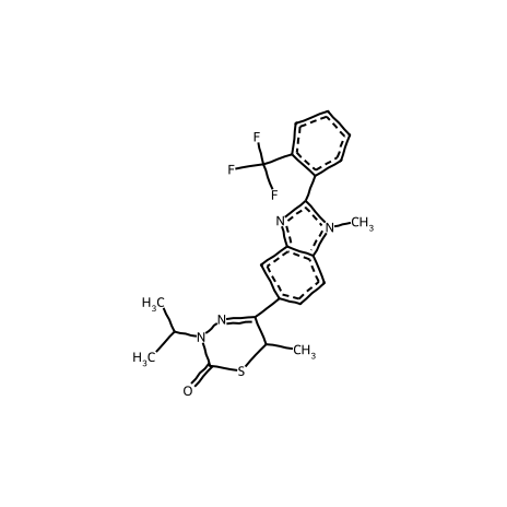 CC1SC(=O)N(C(C)C)N=C1c1ccc2c(c1)nc(-c1ccccc1C(F)(F)F)n2C